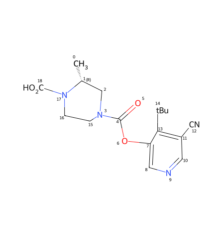 C[C@@H]1CN(C(=O)Oc2cncc(C#N)c2C(C)(C)C)CCN1C(=O)O